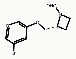 O=CN1CC[C@@H]1COc1cncc(Br)c1